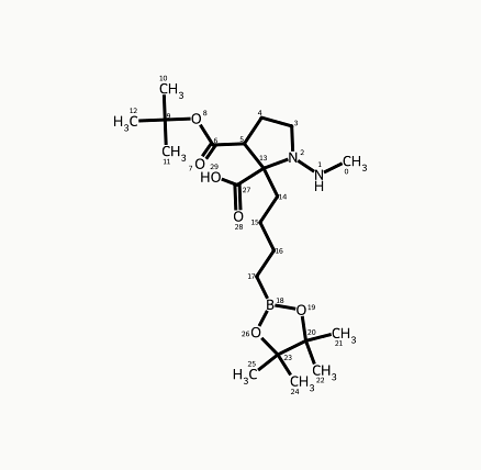 CNN1CCC(C(=O)OC(C)(C)C)C1(CCCCB1OC(C)(C)C(C)(C)O1)C(=O)O